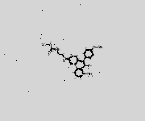 CCCCOc1ccc(/C(=C(\CC)c2ccccc2C)c2ccc(OCCNC(=O)OC(C)(C)C)cc2)cc1